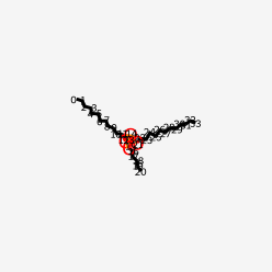 CCCCCCCCCCCCOP(=O)(OCCCCC)OCCCCCCCCCCCC